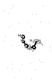 CC(C)(O)C#Cc1cccc(COc2cc(-c3cnn(C4CCCNC4)c3)cnc2N)c1